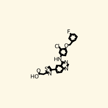 O=C(O)Cc1nc(-c2ccc3ncnc(Nc4ccc(OCc5cccc(F)c5)c(Cl)c4)c3c2)cs1